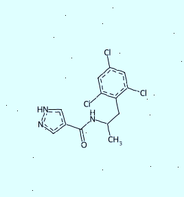 CC(Cc1c(Cl)cc(Cl)cc1Cl)NC(=O)c1cn[nH]c1